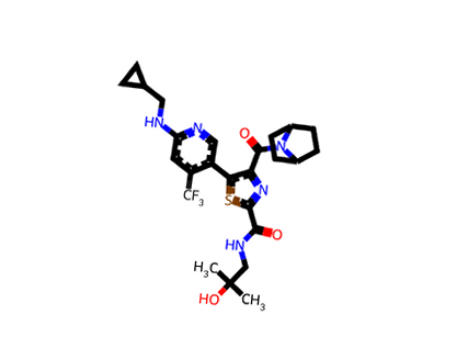 CC(C)(O)CNC(=O)c1nc(C(=O)N2C3CCC2CC3)c(-c2cnc(NCC3CC3)cc2C(F)(F)F)s1